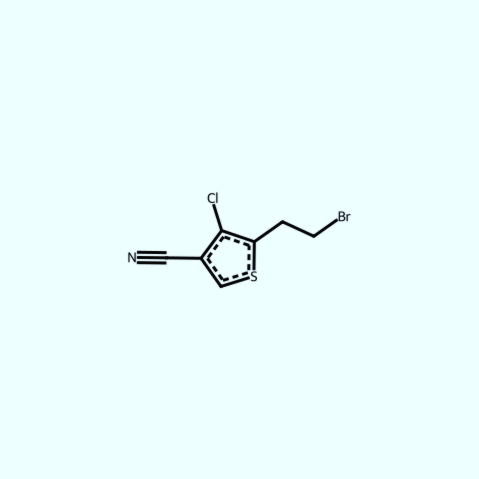 N#Cc1csc(CCBr)c1Cl